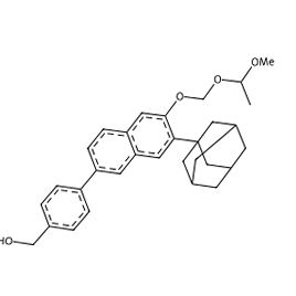 COC(C)OCOc1cc2ccc(-c3ccc(CO)cc3)cc2cc1C12CC3CC(CC(C3)C1)C2